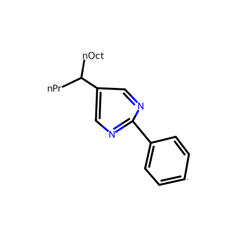 CCCCCCCCC(CCC)c1cnc(-c2cc[c]cc2)nc1